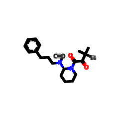 CCC(C)(C)C(=O)C(=O)N1CCCC[C@H]1N(C=O)CCCc1ccccc1